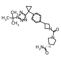 CC(C)(C)n1nnc(C2(c3ccc(C4CN(C(=O)N5CC[C@H](C(N)=O)C5)C4)cc3)CC2)n1